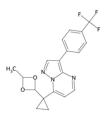 CC1OC(C2(c3ccnc4c(-c5ccc(C(F)(F)F)cc5)cnn34)CC2)O1